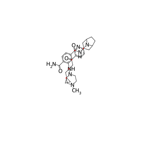 CN1CCN(CCC(=O)c2ccc(N3C4CCC3CC(NC(=O)c3ccc(C(N)=O)c(NCC5CC5)c3)C4)nc2)CC1